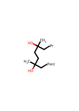 CCCC(C)CC(C)(O)CCC(C)(O)CC(C)C